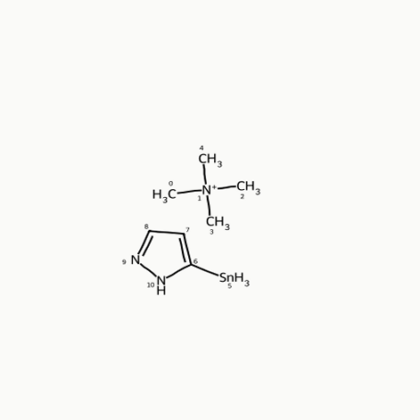 C[N+](C)(C)C.[SnH3][c]1ccn[nH]1